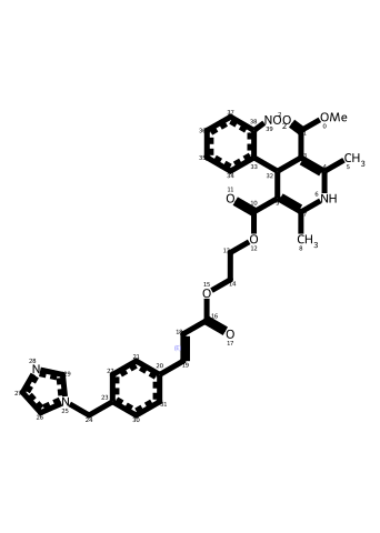 COC(=O)C1=C(C)NC(C)=C(C(=O)OCCOC(=O)/C=C/c2ccc(Cn3ccnc3)cc2)C1c1ccccc1[N+](=O)[O-]